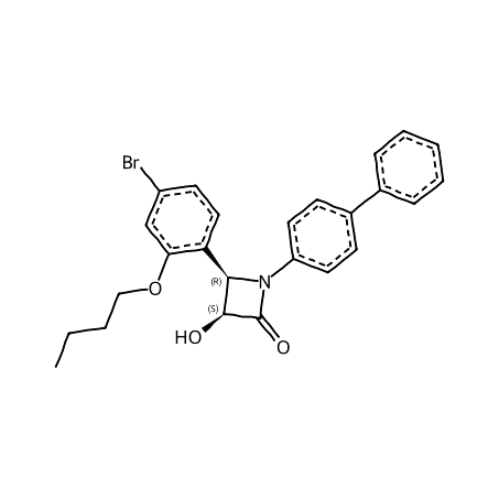 CCCCOc1cc(Br)ccc1[C@@H]1[C@H](O)C(=O)N1c1ccc(-c2ccccc2)cc1